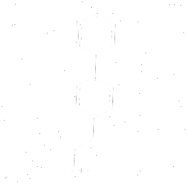 O=CCCc1ccc(-c2cccnn2)cc1